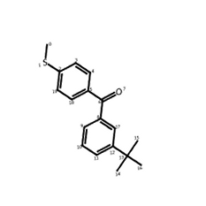 CSc1ccc(C(=O)c2cccc(C(C)(C)C)c2)cc1